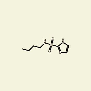 CCCCNS(=O)(=O)c1ncc[nH]1